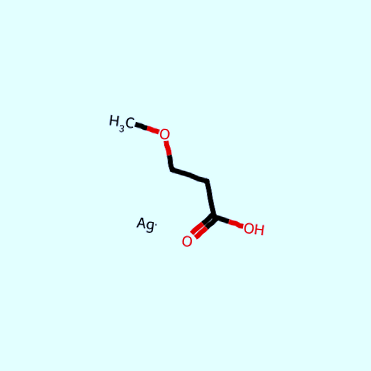 COCCC(=O)O.[Ag]